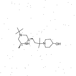 C[C@H]1CN(C(C)(C)C)C[C@@H](CCC(C)(C)N2CCC(O)CC2)N1